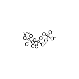 O=P([O-])([O-])[O-].O=P([O-])([O-])[O-].O=P([O-])([O-])[O-].[C+4].[V+5]